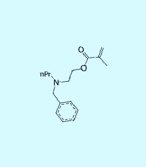 C=C(C)C(=O)OCCN(CCC)Cc1ccccc1